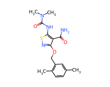 Cc1ccc(C)c(COc2nsc(NC(=O)N(C)C)c2C(N)=O)c1